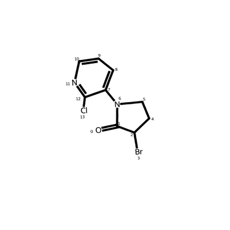 O=C1C(Br)CCN1c1cccnc1Cl